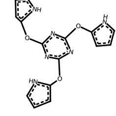 c1c[nH]c(Oc2nc(Oc3ccc[nH]3)nc(Oc3ccc[nH]3)n2)c1